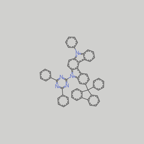 c1ccc(-c2nc(-c3ccccc3)nc(-n3c4cc(C5(c6ccccc6)c6ccccc6-c6ccccc65)ccc4c4c5c6ccccc6n(-c6ccccc6)c5ccc43)n2)cc1